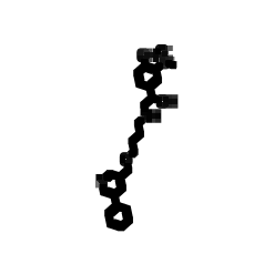 C[S+]([O-])c1cc(C(O)CNCCCCOCc2cncc(-c3ccccc3)c2)ccc1O